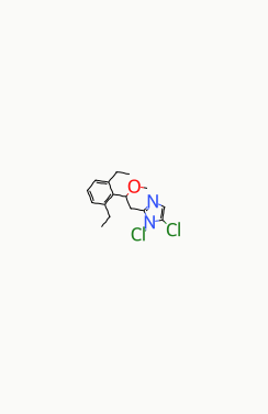 CCc1cccc(CC)c1C(Cc1ncc(Cl)n1Cl)OC